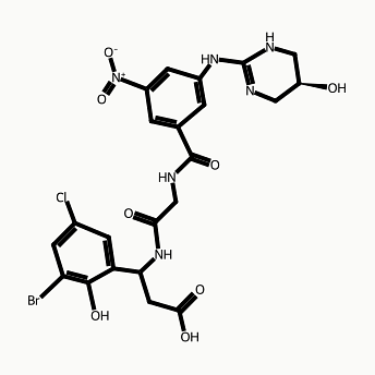 O=C(O)CC(NC(=O)CNC(=O)c1cc(NC2=NC[C@H](O)CN2)cc([N+](=O)[O-])c1)c1cc(Cl)cc(Br)c1O